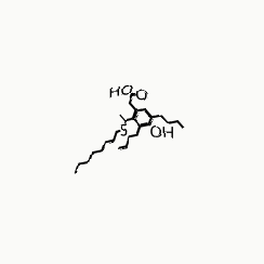 CCCCCCCCSC(C)c1c(CC(=O)O)cc(CCCC)c(O)c1CCCC